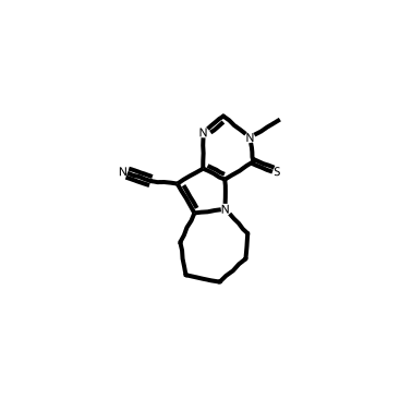 Cn1cnc2c(C#N)c3n(c2c1=S)CCCCC3